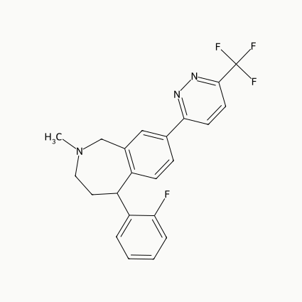 CN1CCC(c2ccccc2F)c2ccc(-c3ccc(C(F)(F)F)nn3)cc2C1